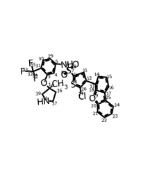 C[C@@]1(Oc2cc(NS(=O)(=O)c3cc(-c4cccc5c4oc4ccccc45)c(Cl)s3)ccc2C(F)(F)F)CCNC1